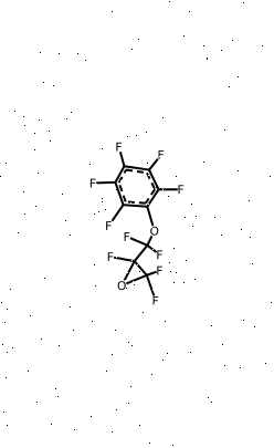 Fc1c(F)c(F)c(OC(F)(F)C2(F)OC2(F)F)c(F)c1F